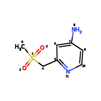 CS(=O)(=O)Cc1cc(N)ccn1